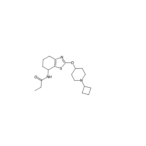 CCC(=O)NC1CCCc2nc(OC3CCN(C4CCC4)CC3)sc21